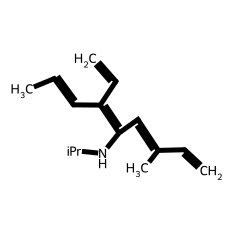 C=C/C(C=CC)=C(\C=C(/C)C=C)NC(C)C